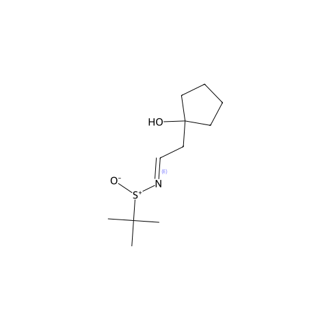 CC(C)(C)[S+]([O-])/N=C/CC1(O)CCCC1